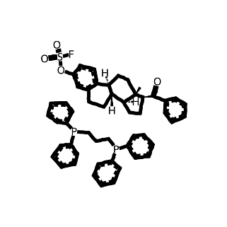 C[C@]12CC[C@@H]3c4ccc(OS(=O)(=O)F)cc4CC[C@H]3[C@@H]1CC[C@@H]2C(=O)c1ccccc1.c1ccc(P(CCCP(c2ccccc2)c2ccccc2)c2ccccc2)cc1